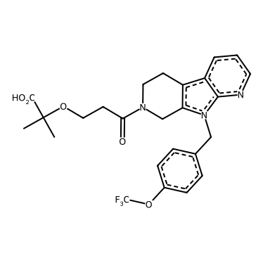 CC(C)(OCCC(=O)N1CCc2c(n(Cc3ccc(OC(F)(F)F)cc3)c3ncccc23)C1)C(=O)O